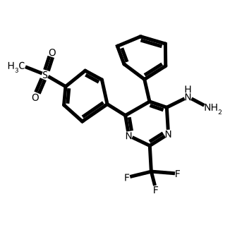 CS(=O)(=O)c1ccc(-c2nc(C(F)(F)F)nc(NN)c2-c2ccccc2)cc1